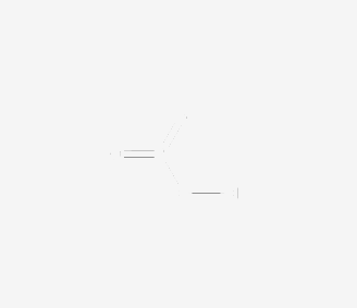 O=P(=S)OO